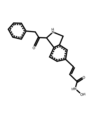 O=C(C=Cc1ccc2c(c1)CNC2C(=O)Cc1ccccc1)NO